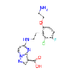 NCCOc1ccc(F)c(Cl)c1CCNc1ccn2ncc(C(=O)O)c2n1